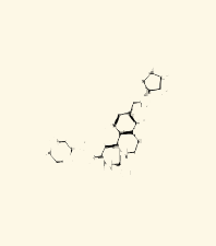 O=c1nc(OC[C@H]2COCCO2)cc2n1CCc1cc(COC3CCCC3)ccc1-2